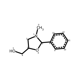 CN1CC(CO)OC1c1ccccc1